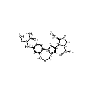 NC(=O)C(CO)Nc1ccc2c(c1)OCCn1cc(N3C(=C=O)OC[C@H]3C(F)F)nc1-2